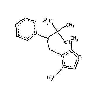 Cc1coc(C)c1CN(c1ccccc1)C(C)(C)C